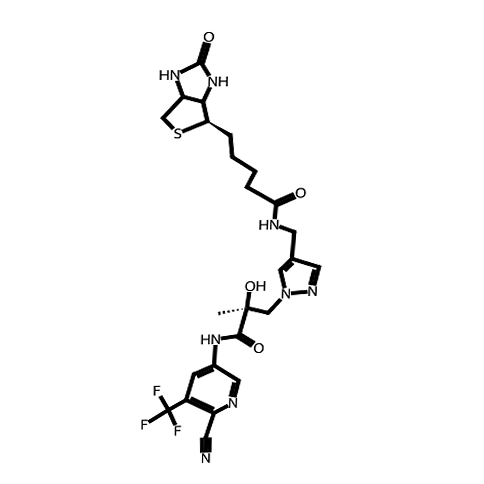 C[C@](O)(Cn1cc(CNC(=O)CCCC[C@H]2SCC3NC(=O)NC32)cn1)C(=O)Nc1cnc(C#N)c(C(F)(F)F)c1